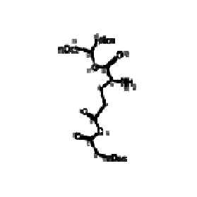 CCCCCCCCCCCC(=O)OC(=O)CCC(N)C(=O)OC(CCCCCCCC)CCCCCCCCC